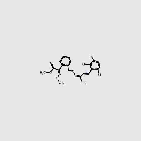 CON=C(C(=O)OC)c1ccccc1CON=C(C)/C=C/c1c(Cl)ccc(Cl)c1Cl